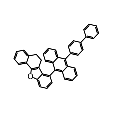 c1ccc(-c2ccc(-c3c4ccccc4c(-c4cccc5oc6c(c45)CCc4ccccc4-6)c4ccccc34)cc2)cc1